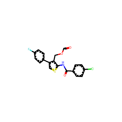 O=COCc1c(-c2ccc(F)cc2)csc1NC(=O)c1ccc(Cl)cc1